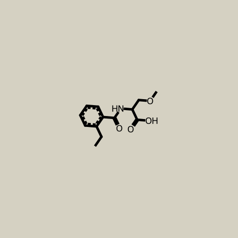 CCc1ccccc1C(=O)NC(COC)C(=O)O